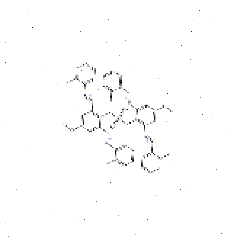 COc1cc(/C=C/c2ccccc2C)c(CS(=O)(=O)Cc2c(/C=C/c3ccccc3C)cc(OC)cc2/C=C/c2ccccc2C)c(/C=C/c2ccccc2C)c1